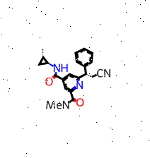 CNC(=O)c1cc(C(=O)N[C@H]2C[C@@H]2C)cc([C@@H](CC#N)c2ccccc2)n1